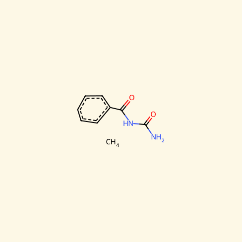 C.NC(=O)NC(=O)c1ccccc1